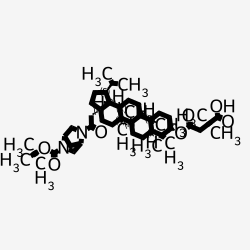 CC(C)[C@@H]1CC[C@]2(CC(=O)N3CC4CC3CN4C(=O)OC(C)(C)C)CC[C@]3(C)[C@H](CC[C@@H]4[C@@]5(C)CC[C@H](OC(=O)CC(C)(C)C(=O)O)C(C)(C)[C@@H]5CC[C@]43C)[C@@H]12